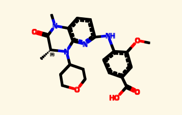 COc1cc(C(=O)O)ccc1Nc1ccc2c(n1)N(C1CCOCC1)[C@H](C)C(=O)N2C